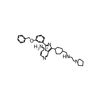 N[N+]12C=CN=CC1=C(C1CCC(CNCCN3CCCC3)CC1)N=C2c1cccc(OCc2ccccc2)c1